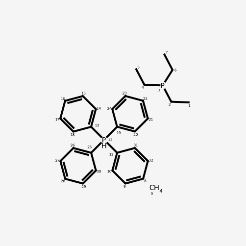 C.CCP(CC)CC.c1ccc([PH](c2ccccc2)(c2ccccc2)c2ccccc2)cc1